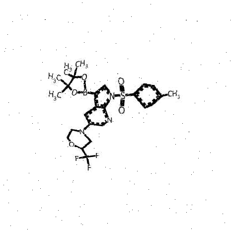 Cc1ccc(S(=O)(=O)n2cc(B3OC(C)(C)C(C)(C)O3)c3cc(N4CCOC(C(F)(F)F)C4)cnc32)cc1